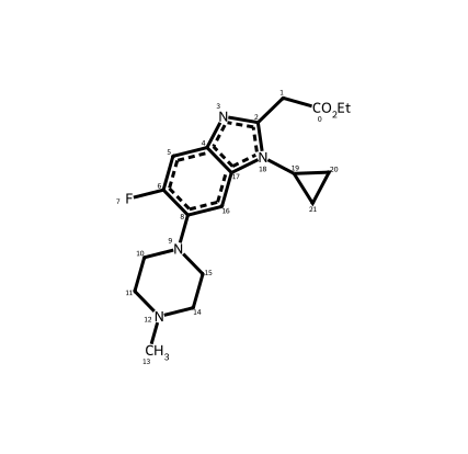 CCOC(=O)Cc1nc2cc(F)c(N3CCN(C)CC3)cc2n1C1CC1